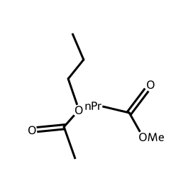 CCCC(=O)OC.CCCOC(C)=O